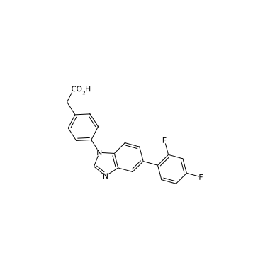 O=C(O)Cc1ccc(-n2cnc3cc(-c4ccc(F)cc4F)ccc32)cc1